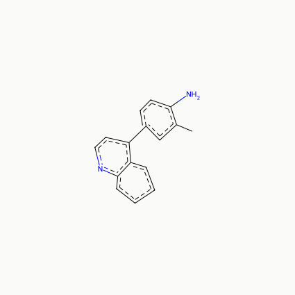 Cc1cc(-c2ccnc3ccccc23)ccc1N